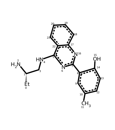 CC[C@H](N)CNc1nc(-c2cc(C)ccc2O)nc2ccccc12